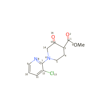 COC(=O)C1CCN(c2ncccc2Cl)CC1=O